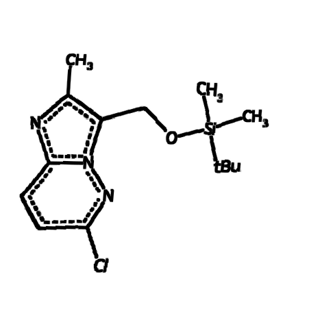 Cc1nc2ccc(Cl)nn2c1CO[Si](C)(C)C(C)(C)C